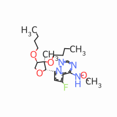 CCCCO[C@@H]1CO[C@@H](c2cc(F)c3c(NOC)ncnn23)[C@]1(C)OCCCC